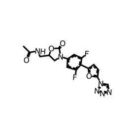 CC(=O)NCC1CN(c2cc(F)c(-c3ccc(-n4cnnn4)o3)c(F)c2)C(=O)O1